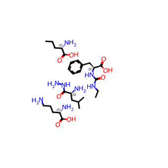 CC(C)C[C@H](N)C(=O)NN.CCC[C@H](N)C(=O)O.CCNC(=O)N[C@@H](Cc1ccccc1)C(=O)O.NCCC[C@H](N)C(=O)O